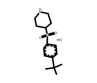 CC(C)(C)c1ccc(S(=O)(=O)C2CCNCC2)cc1.Cl